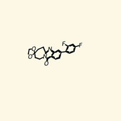 O=c1c2ccc(-c3ccc(F)cc3F)cc2nc2n1CCC1(CC2)OCCO1